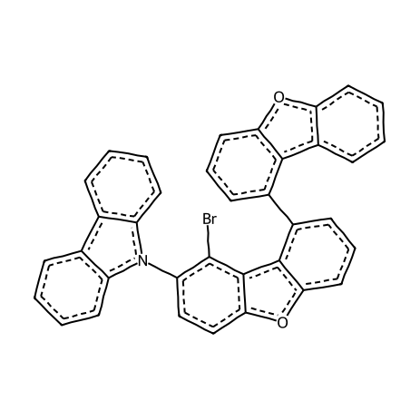 Brc1c(-n2c3ccccc3c3ccccc32)ccc2oc3cccc(-c4cccc5oc6ccccc6c45)c3c12